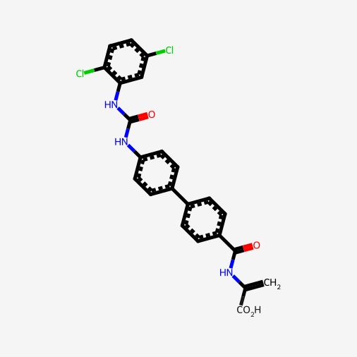 C=C(NC(=O)c1ccc(-c2ccc(NC(=O)Nc3cc(Cl)ccc3Cl)cc2)cc1)C(=O)O